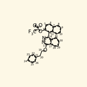 O=S(=O)(Oc1ccc2ccccc2c1-c1nnc(OCCc2ccccc2)c2ccccc12)C(F)(F)F